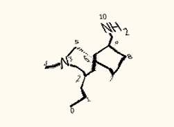 CC[C@H]1N(C)C[C@]12CCC2N